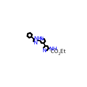 CCOC(=O)Nc1cncc(-c2ccnc(-c3ncc(-c4ccccc4)[nH]3)c2)c1